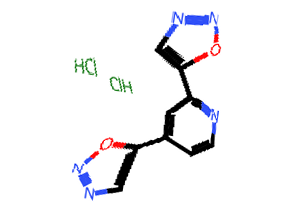 Cl.Cl.c1cc(-c2cnno2)cc(-c2cnno2)n1